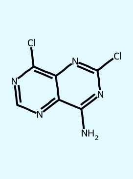 Nc1nc(Cl)nc2c(Cl)ncnc12